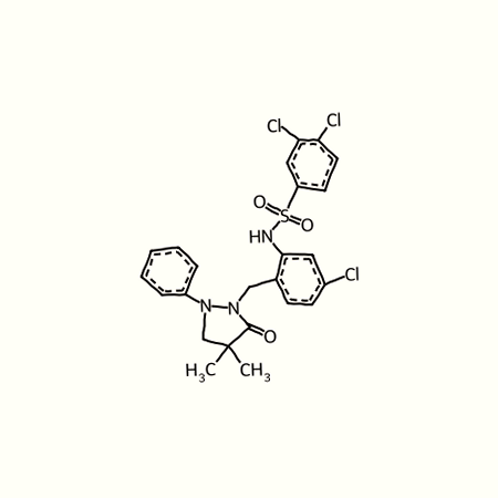 CC1(C)CN(c2ccccc2)N(Cc2ccc(Cl)cc2NS(=O)(=O)c2ccc(Cl)c(Cl)c2)C1=O